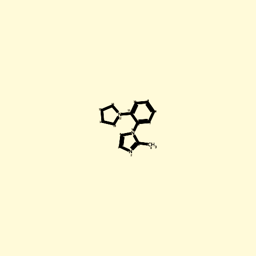 Cc1nccn1-c1ccccc1N1CCCC1